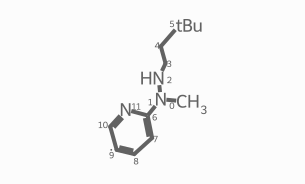 CN(NCCC(C)(C)C)c1cc[c]cn1